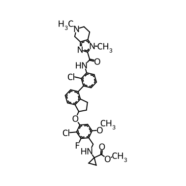 COC(=O)C1(NCc2c(OC)cc(OC3CCc4c(-c5cccc(NC(=O)c6nc7c(n6C)CCN(C)C7)c5Cl)cccc43)c(Cl)c2F)CC1